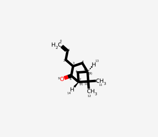 C=CCC1C[C@@H]2C[C@@H](C1=O)C2(C)C